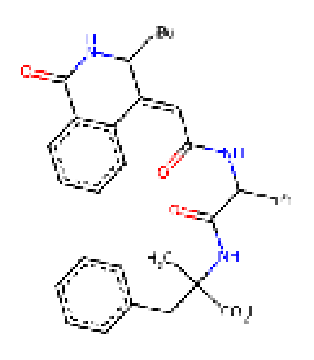 CCC(C)C1NC(=O)c2ccccc2C1=CC(=O)NC(C(=O)NC(C)(Cc1ccccc1)C(=O)O)C(C)C